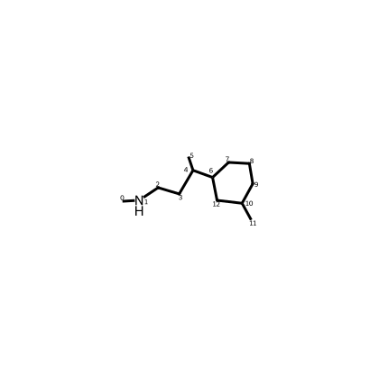 CNCCC(C)C1CCCC(C)C1